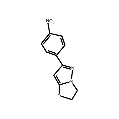 O=[N+]([O-])c1ccc(-c2cc3n(n2)CCO3)cc1